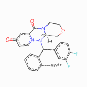 CSc1ccccc1C(c1ccc(F)c(F)c1)N1[C@@H]2COCCN2C(=O)c2cc(=O)ccn21